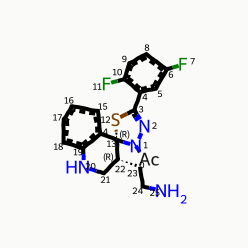 CC(=O)N1N=C(c2cc(F)ccc2F)S[C@]12c1ccccc1NC[C@H]2CCN